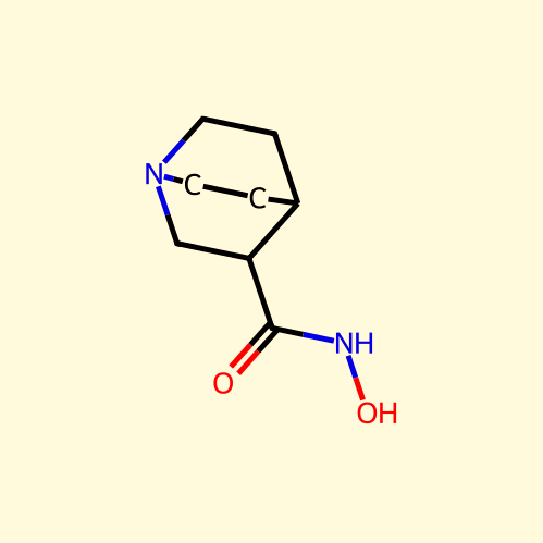 O=C(NO)C1CN2CCC1CC2